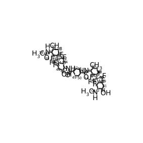 CNc1cc(C(c2ccc(C)c(NC(=O)c3ccc(C(=O)Nc4cc(C(c5ccc(C)c(NC(C)=O)c5)(C(F)(F)F)C(F)(F)F)ccc4O)cc3)c2)(C(F)(F)F)C(F)(F)F)ccc1O